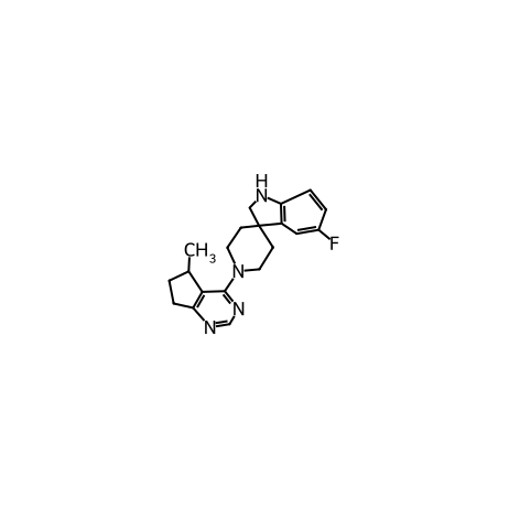 CC1CCc2ncnc(N3CCC4(CC3)CNc3ccc(F)cc34)c21